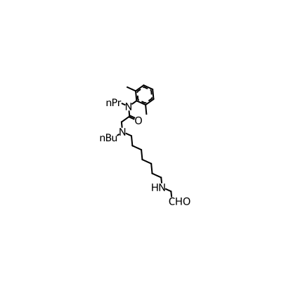 CCCCN(CCCCCCCNCC=O)CC(=O)N(CCC)c1c(C)cccc1C